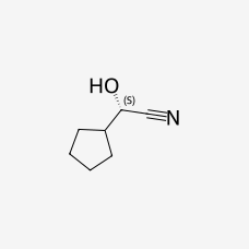 N#C[C@@H](O)C1CCCC1